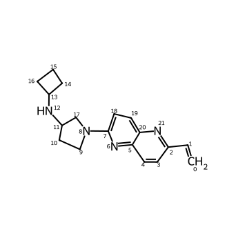 C=Cc1ccc2nc(N3CCC(NC4CCC4)C3)ccc2n1